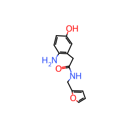 Nc1ccc(O)cc1CC(=O)NCc1ccco1